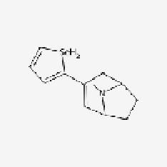 CN1C2C=C(C3=CC=C[SeH2]3)CC1CC2